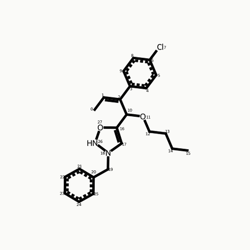 CC=C(c1ccc(Cl)cc1)C(OCCCC)C1=CN(Cc2ccccc2)NO1